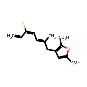 C=C/C(F)=C\C=C(/C)Cc1cc(SC)oc1C(=O)O